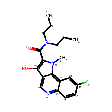 CCCN(CCC)C(=O)c1c(O)c2cnc3ccc(Cl)cc3c2n1C